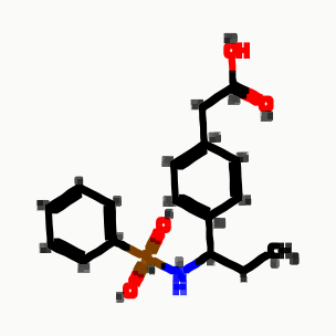 CCC(NS(=O)(=O)c1ccccc1)c1ccc(CC(=O)O)cc1